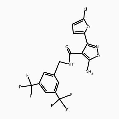 Nc1onc(-c2ccc(Cl)o2)c1C(=O)NCc1cc(C(F)(F)F)cc(C(F)(F)F)c1